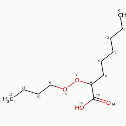 CCCCCCC(OOCCCC)C(=O)O